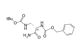 CC(C)(C)OC(=O)NC[C@H](NC(=O)OCc1ccccc1)C(N)=O